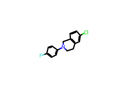 Fc1ccc(N2CCc3cc(Cl)ccc3C2)cc1